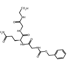 NC(=O)CC[C@H](NC(=O)CNC(=O)OCc1ccccc1)C(=O)NCC(=O)NCC(=O)O